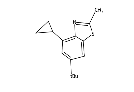 Cc1nc2c(C3CC3)cc(C(C)(C)C)cc2s1